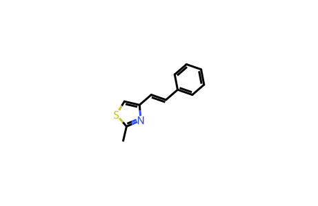 Cc1nc(C=Cc2ccccc2)cs1